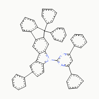 c1ccc(-c2ccc3c(c2)c2cc4c(cc2n3-c2nc(-c3ccccc3)cc(-c3ccccc3)n2)C(c2ccccc2)(c2ccccc2)c2ccccc2-4)cc1